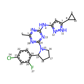 Cc1nc(Nc2cc(C3CC3)[nH]n2)nc(N2CCCC2c2ccc(Cl)cc2F)n1